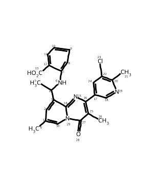 Cc1cc(C(C)Nc2ccccc2C(=O)O)c2nc(-c3cnc(C)c(Cl)c3)c(C)c(=O)n2c1